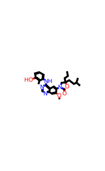 CCCC1(CCC(C)C)CN(c2cc3c(Nc4cccc(O)c4C)ncnc3cc2OC)C(=O)O1